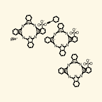 C#Cc1ccccc1.O=S(=O)([O-])c1cccc2c3nc4nc(nc5[n-]c(nc6nc(nc([nH]3)c12)-c1ccccc1-6)c1ccccc51)-c1ccccc1-4.O=S(=O)([O-])c1cccc2c3nc4nc(nc5[nH]c(nc6nc(nc([nH]3)c12)-c1ccccc1-6)c1ccccc51)-c1ccccc1-4.O=S(=O)([O-])c1cccc2c3nc4nc(nc5[nH]c(nc6nc(nc([nH]3)c12)-c1ccccc1-6)c1ccccc51)-c1ccccc1-4.[In+3].[Na+]